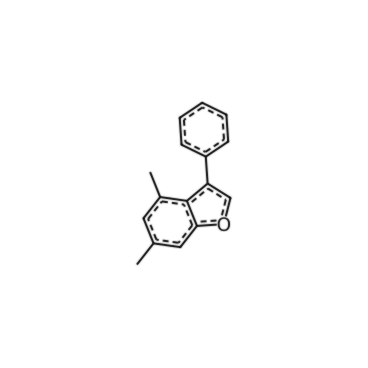 Cc1cc(C)c2c(-c3ccccc3)coc2c1